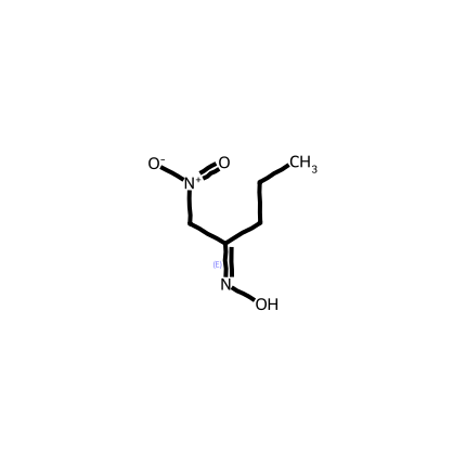 CCC/C(C[N+](=O)[O-])=N\O